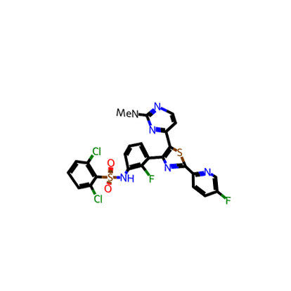 CNc1nccc(-c2sc(-c3ccc(F)cn3)nc2-c2cccc(NS(=O)(=O)c3c(Cl)cccc3Cl)c2F)n1